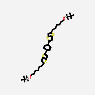 CC(C)(C)[Si](C)(C)OCCCCCCc1cc2sc(-c3ccc(-c4cc5sc(CCCCCCO[Si](C)(C)C(C)(C)C)cc5s4)cc3)cc2s1